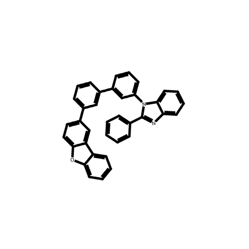 c1ccc(-c2nc3ccccc3n2-c2cccc(-c3cccc(-c4ccc5oc6ccccc6c5c4)c3)c2)cc1